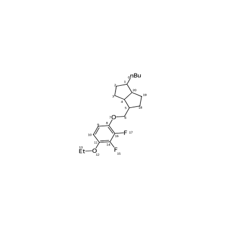 CCCCC1CCC2C(COc3ccc(OCC)c(F)c3F)CCC12